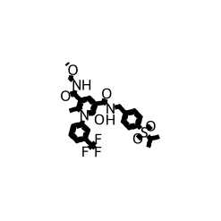 COCNC(=O)c1cc(C(=O)NCc2ccc(S(=O)(=O)C(C)C)cc2)c(=O)n(-c2cccc(C(F)(F)F)c2)c1C